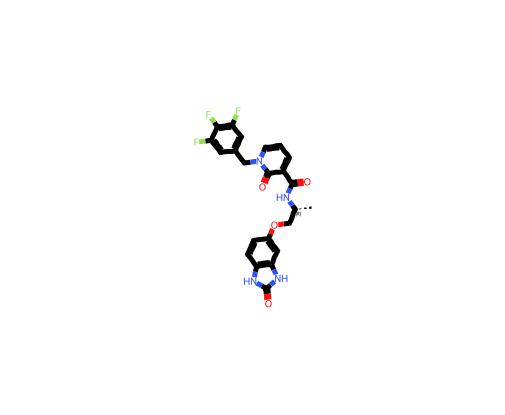 C[C@H](COc1ccc2[nH]c(=O)[nH]c2c1)NC(=O)c1cccn(Cc2cc(F)c(F)c(F)c2)c1=O